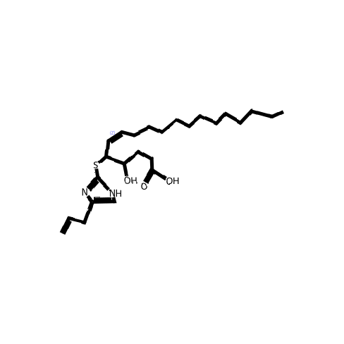 C=CCc1c[nH]c(SC(/C=C\CCCCCCCCCCCC)C(O)CCC(=O)O)n1